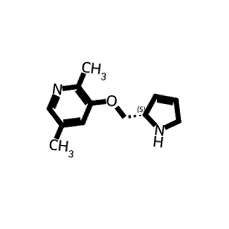 Cc1cnc(C)c(OC[C@@H]2C=CCN2)c1